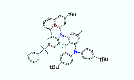 Cc1cc(N(c2ccc(C(C)(C)C)cc2)c2ccc(C(C)(C)C)cc2)c(Cl)c(N(c2cccc(C(C)(C)C)c2)c2ccc(C(C)(C)c3ccccc3)cc2-c2ccccc2)c1